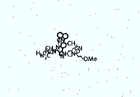 COC/C=C/C(=O)N1CCC(n2ncc3c(N4CC(C)(N(C)C)C4)nc4c(F)c(-c5cccc6cccc(C#N)c56)c(C)cc4c32)C[C@H]1CC#N